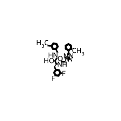 CCc1cccc(CNC[C@@H](O)[C@H](Cc2cc(F)cc(F)c2)NC(=O)Cn2nnc(-c3ccccc3C)n2)c1